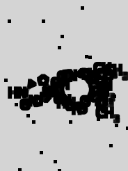 CCn1c(-c2cc(N3CCN(C)CC3)cnc2[C@H](C)OC)c2c3cc(ccc31)N1CCO[C@@H](C[C@H](NC(=O)[C@H](C3CCCC3)N3CC[C@]4(CCN(C(=O)[C@@H]5N[C@@H]5C5CC5)C4)C3)C(=O)N3CCC[C@H](N3)C(=O)OCC(C)(C)C2)C1